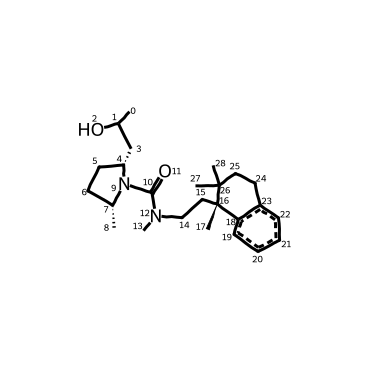 CC(O)C[C@H]1CC[C@@H](C)N1C(=O)N(C)CC[C@@]1(C)c2ccccc2CCC1(C)C